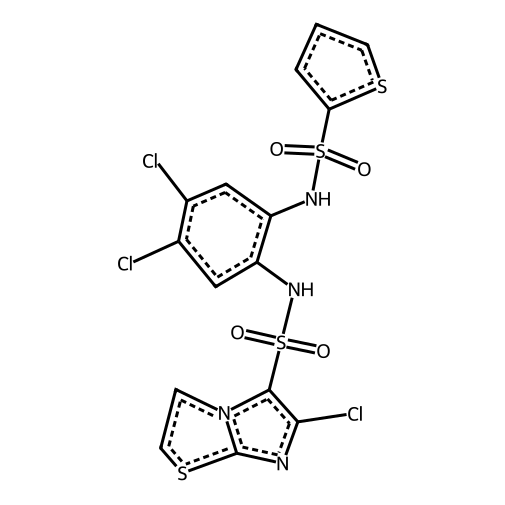 O=S(=O)(Nc1cc(Cl)c(Cl)cc1NS(=O)(=O)c1c(Cl)nc2sccn12)c1cccs1